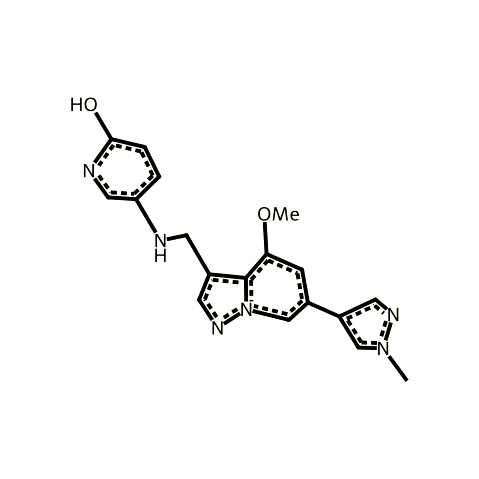 COc1cc(-c2cnn(C)c2)cn2ncc(CNc3ccc(O)nc3)c12